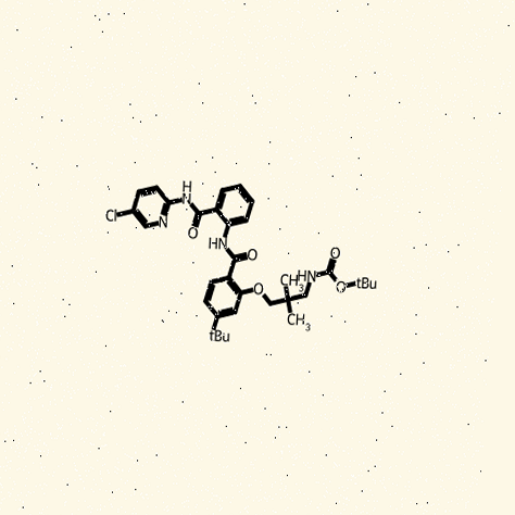 CC(C)(CNC(=O)OC(C)(C)C)COc1cc(C(C)(C)C)ccc1C(=O)Nc1ccccc1C(=O)Nc1ccc(Cl)cn1